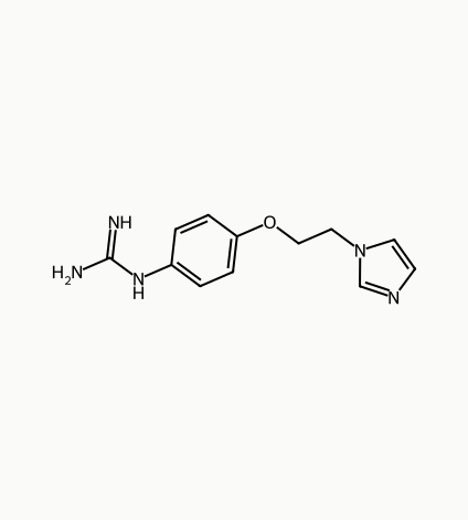 N=C(N)Nc1ccc(OCCn2ccnc2)cc1